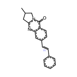 CC1Cc2nc3cc(/C=C/c4ccccc4)ccc3c(=O)n2C1